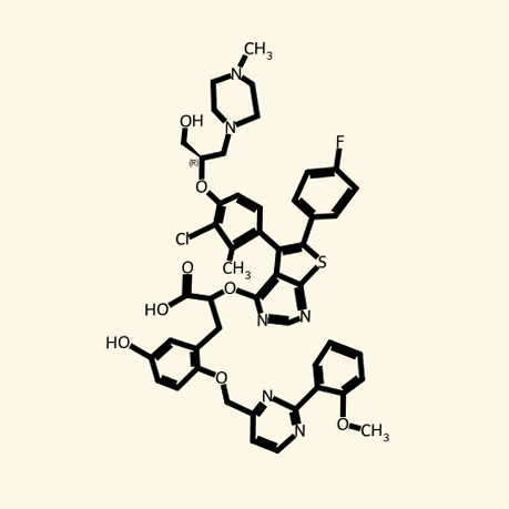 COc1ccccc1-c1nccc(COc2ccc(O)cc2CC(Oc2ncnc3sc(-c4ccc(F)cc4)c(-c4ccc(O[C@@H](CO)CN5CCN(C)CC5)c(Cl)c4C)c23)C(=O)O)n1